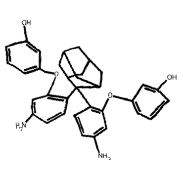 Nc1ccc(C2(c3ccc(N)cc3Oc3cccc(O)c3)C3CC4CC(C3)CC2C4)c(Oc2cccc(O)c2)c1